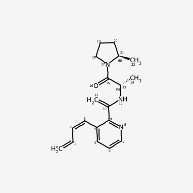 C=C/C=C\c1cccnc1C(=C)N[C@@H](C)C(=O)N1CCC[C@H]1C